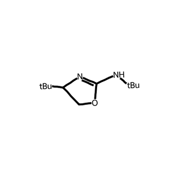 CC(C)(C)NC1=NC(C(C)(C)C)CO1